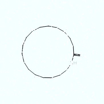 O=C1CCCCCCCCCCCCCCCCCN1